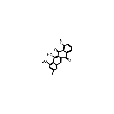 COc1cccc2c1C(=O)c1c(cc3cc(C)cc(OC)c3c1O)C2=O